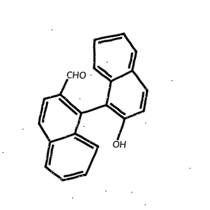 O=Cc1ccc2ccccc2c1-c1c(O)ccc2ccccc12